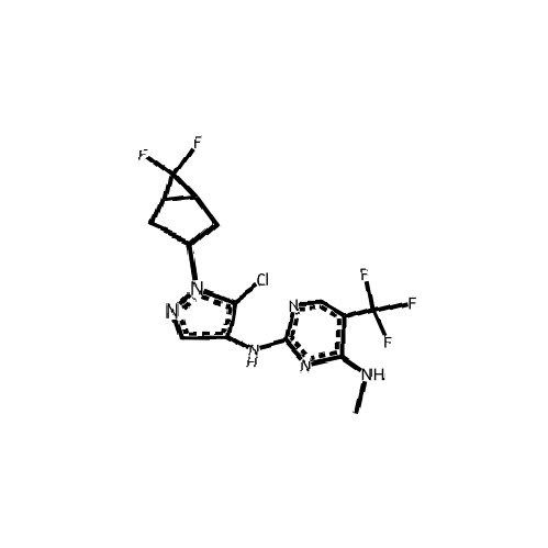 CNc1nc(Nc2cnn(C3CC4C(C3)C4(F)F)c2Cl)ncc1C(F)(F)F